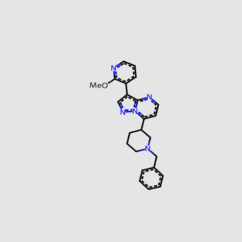 COc1ncccc1-c1cnn2c(C3CCCN(Cc4ccccc4)C3)ccnc12